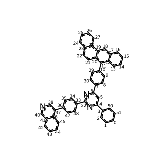 c1ccc(-c2cc(-c3ccc(-c4c5ccccc5cc5c4ccc4ccccc45)cc3)nc(-c3ccc(-c4cncc5ccccc45)cc3)n2)cc1